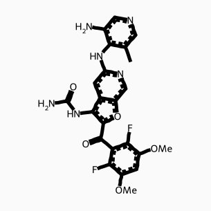 COc1cc(OC)c(F)c(C(=O)c2oc3cnc(Nc4c(C)cncc4N)cc3c2NC(N)=O)c1F